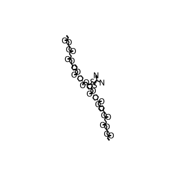 C=CC(=O)OCCOC(=O)CCC(=O)OCc1ccc(OC(=O)[C@H]2CC[C@H](C(=O)Oc3ccc(OC(=O)[C@H]4CC[C@H](C(=O)Oc5ccc(COC(=O)CCC(=O)OCCOC(=O)C=C)cc5)CC4)c4c3SC(=C(C#N)C#N)S4)CC2)cc1